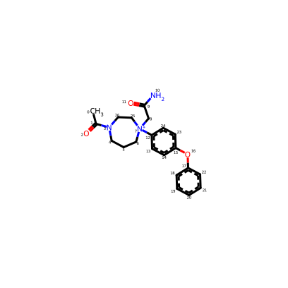 CC(=O)N1CCC[N+](CC(N)=O)(c2ccc(Oc3ccccc3)cc2)CC1